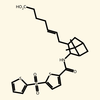 CC1(C)C2CC(CC=CCCCC(=O)O)C(NC(=O)c3ccc(S(=O)(=O)c4cccs4)s3)C1C2